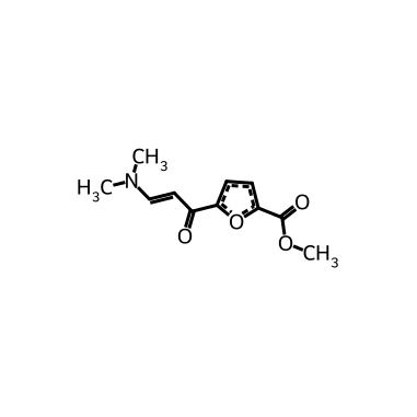 COC(=O)c1ccc(C(=O)/C=C/N(C)C)o1